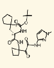 Cn1ccc(NC(=O)C(=O)C2(NC(=O)[C@H](CC3(F)CCCC3)NC(=O)OC(C)(C)C)CCC2)n1